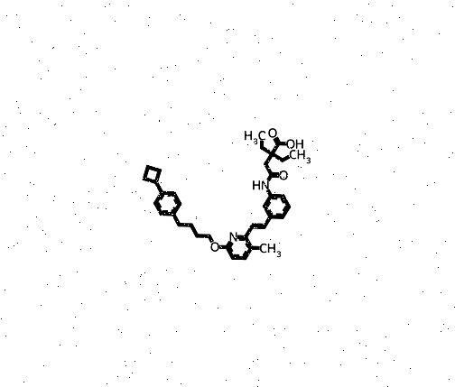 CCC(CC)(CC(=O)Nc1cccc(C=Cc2nc(OCCCCc3ccc(C4CCC4)cc3)ccc2C)c1)C(=O)O